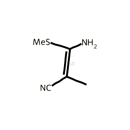 CS/C(N)=C(/C)C#N